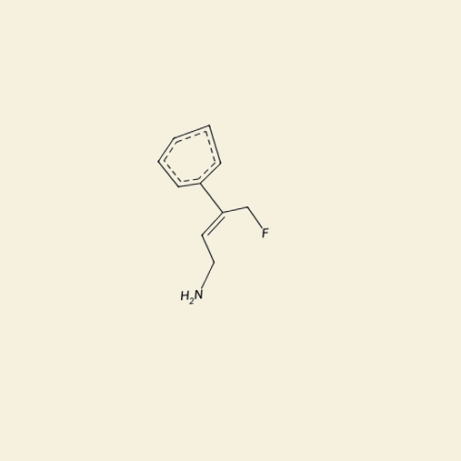 NCC=C(CF)c1ccccc1